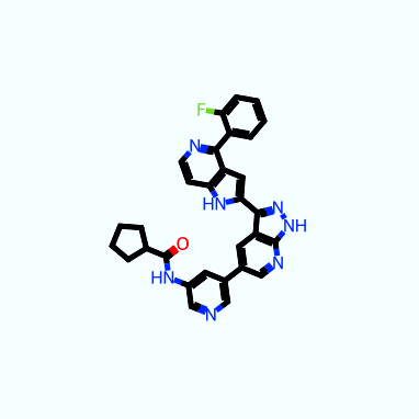 O=C(Nc1cncc(-c2cnc3[nH]nc(-c4cc5c(-c6ccccc6F)nccc5[nH]4)c3c2)c1)C1CCCC1